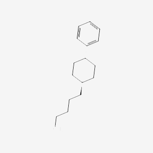 CCCCC[C@H]1CC[C@H](c2cc[c]cc2)CC1